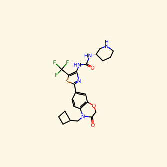 O=C(Nc1nc(-c2ccc3c(c2)OCC(=O)N3CC2CCC2)sc1C(F)(F)F)N[C@H]1CCCNC1